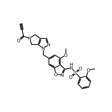 C#CC(=O)N1Cc2cnn(Cc3cc(OC)c4c(NS(=O)(=O)c5ccccc5OC)noc4c3)c2C1